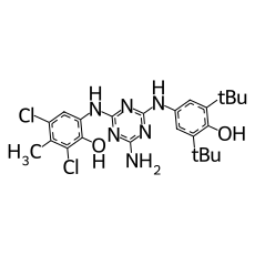 Cc1c(Cl)cc(Nc2nc(N)nc(Nc3cc(C(C)(C)C)c(O)c(C(C)(C)C)c3)n2)c(O)c1Cl